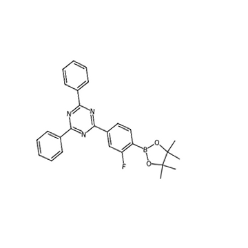 CC1(C)OB(c2ccc(-c3nc(-c4ccccc4)nc(-c4ccccc4)n3)cc2F)OC1(C)C